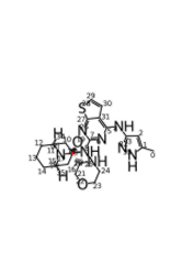 Cc1cc(Nc2nc(N[C@@H]3C[C@H]4CCC[C@@H](C3)N4C(=O)[C@H]3COCCN3)nc3sccc23)n[nH]1